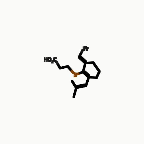 CC(C)=CC1=C(SCCC(=O)O)/C(=C/C(C)C)CCC1